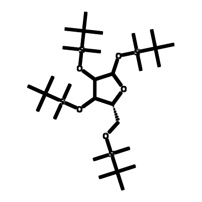 CC(C)(C)[Si](C)(C)OC[C@H]1OC(O[Si](C)(C)C(C)(C)C)C(O[Si](C)(C)C(C)(C)C)C1O[Si](C)(C)C(C)(C)C